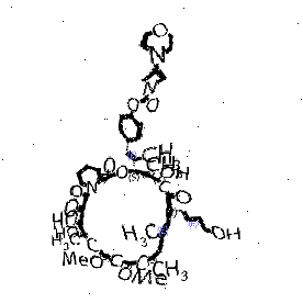 CO[C@@H]1C[C@@H](OC)C[C@@H](C)C/C(C)=C/[C@@H](C/C=C/CO)C(=O)C[C@H](O)[C@@H](C)[C@@H](/C(C)=C/[C@H]2CC[C@H](OC(=O)N3CC(N4CCOCC4)C3)CC2)OC(=O)[C@@H]2CCCCN2C(=O)C(=O)C(O)(O)[C@H](C)C1